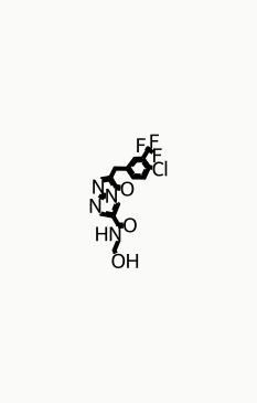 O=C(NCCO)c1cnc2ncc(Cc3ccc(Cl)c(C(F)(F)F)c3)c(=O)n2c1